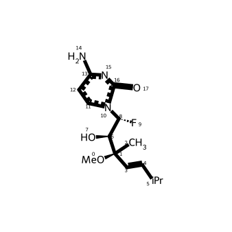 CO[C@@](C)(/C=C/C(C)C)[C@@H](O)[C@@H](F)n1ccc(N)nc1=O